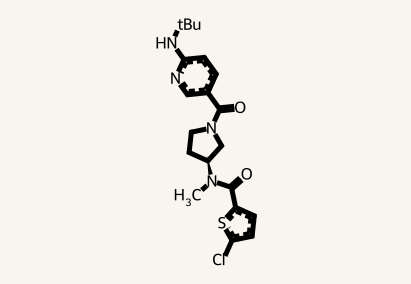 CN(C(=O)c1ccc(Cl)s1)[C@H]1CCN(C(=O)c2ccc(NC(C)(C)C)nc2)C1